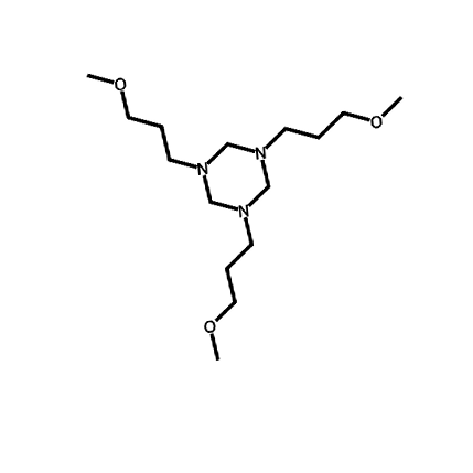 COCCCN1CN(CCCOC)CN(CCCOC)C1